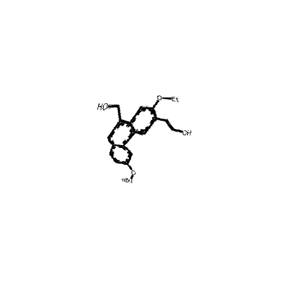 CCCCOc1ccc2cc(CO)c3cc(OCC)c(CCO)cc3c2c1